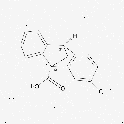 O=C(O)[C@@]12C[C@@H](c3ccccc31)c1ccc(Cl)cc12